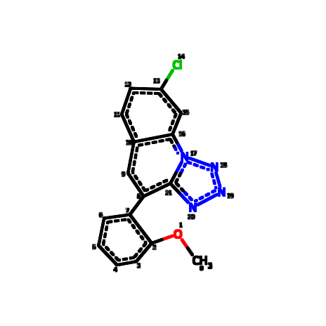 COc1ccccc1-c1cc2ccc(Cl)cc2n2nnnc12